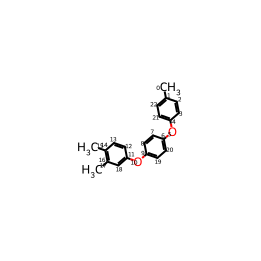 Cc1ccc(Oc2ccc(Oc3ccc(C)c(C)c3)cc2)cc1